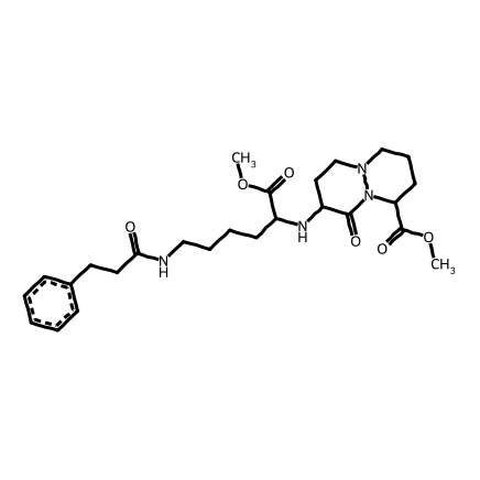 COC(=O)C(CCCCNC(=O)CCc1ccccc1)NC1CCN2CCCC(C(=O)OC)N2C1=O